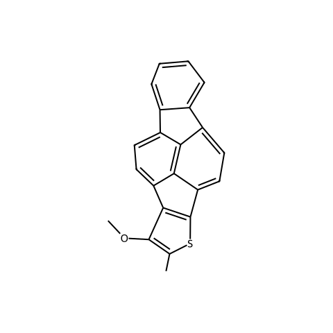 COc1c(C)sc2c1-c1ccc3c4c(ccc-2c14)-c1ccccc1-3